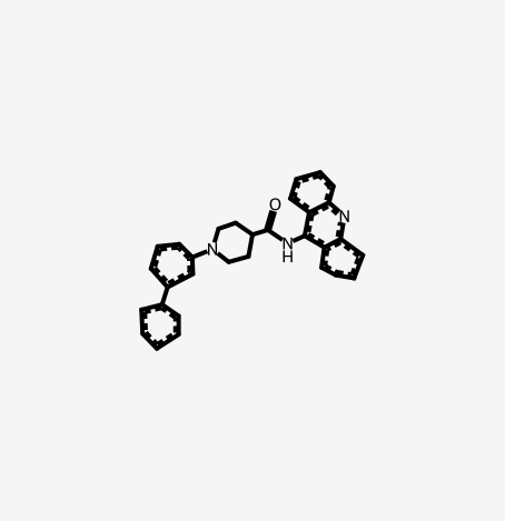 O=C(Nc1c2ccccc2nc2ccccc12)C1CCN(c2cccc(-c3ccccc3)c2)CC1